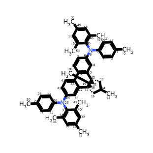 Cc1ccc(N(c2ccc3c(c2)[C@]24CC(C)C[C@]2(CC(C)C4)c2cc(N(c4ccc(C)cc4)c4c(C)cc(C)cc4C)ccc2-3)c2c(C)cc(C)cc2C)cc1